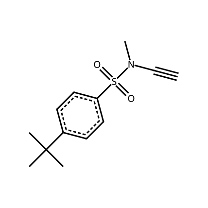 C#CN(C)S(=O)(=O)c1ccc(C(C)(C)C)cc1